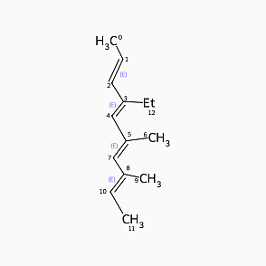 C/C=C/C(=C/C(C)=C/C(C)=C/C)CC